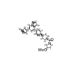 COC1CCN(C(=O)N2CCN(c3ccc(-c4cc(-c5cnn(C)c5)cn5nccc45)cn3)CC2)C1